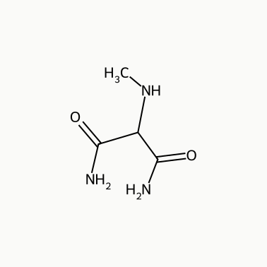 CNC(C(N)=O)C(N)=O